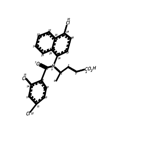 CC(CCC(=O)O)N(C(=O)c1ccc(Cl)cc1Cl)c1ccc(Cl)c2ccccc12